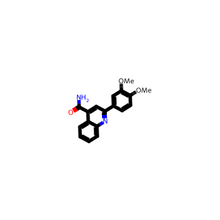 COc1ccc(-c2cc(C(N)=O)c3ccccc3n2)cc1OC